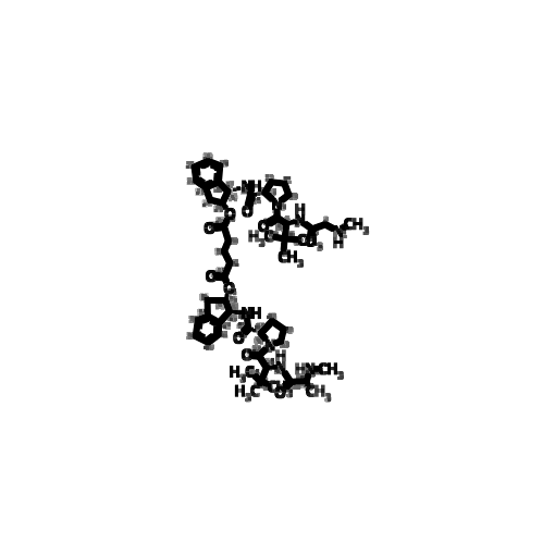 CNCC(=O)N[C@H](C(=O)N1CCC[C@H]1C(=O)N[C@H]1c2ccccc2C[C@@H]1OC(=O)CCCC(=O)O[C@H]1Cc2ccccc2[C@@H]1NC(=O)[C@@H]1CCCN1C(=O)[C@@H](NC(=O)[C@H](C)NC)C(C)(C)C)C(C)(C)C